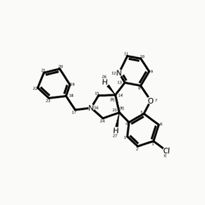 Clc1ccc2c(c1)Oc1cccnc1[C@H]1CN(Cc3ccccc3)C[C@@H]21